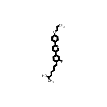 C=CCOc1ccc(-c2ccc(-c3ccc(C=CCCCC(C)O)c(F)c3)cn2)cc1